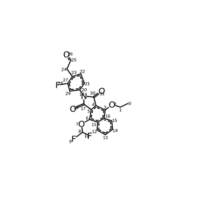 CCOc1c2c(c(OC(F)F)c3ccccc13)C(=O)N(c1ccc(CC=O)c(F)c1)C2=O